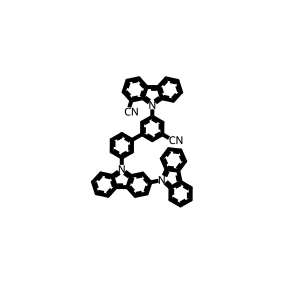 N#Cc1cc(-c2cccc(-n3c4ccccc4c4ccc(-n5c6ccccc6c6ccccc65)cc43)c2)cc(-n2c3ccccc3c3cccc(C#N)c32)c1